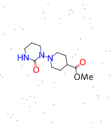 COC(=O)C1CCN(N2CCCNC2=O)CC1